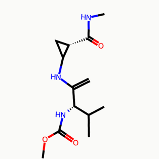 C=C(NC1C[C@@H]1C(=O)NC)[C@@H](NC(=O)OC)C(C)C